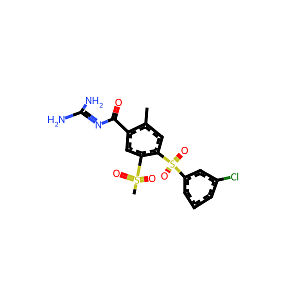 Cc1cc(S(=O)(=O)c2cccc(Cl)c2)c(S(C)(=O)=O)cc1C(=O)N=C(N)N